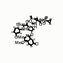 C=C[C@@H]1C[C@]1(NC(=O)[C@@H]1C[C@@H](Oc2ncc(OC)c3ccc(Cl)cc23)CN1C(=O)C(Nc1cccc(OC)c1)C(C)(C)C)C(=O)NS(=O)(=O)C1CC1